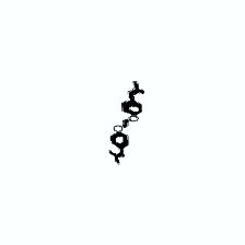 CC(C)Cc1ccc(OCCOc2ccc(CC(C)C)cc2)cc1